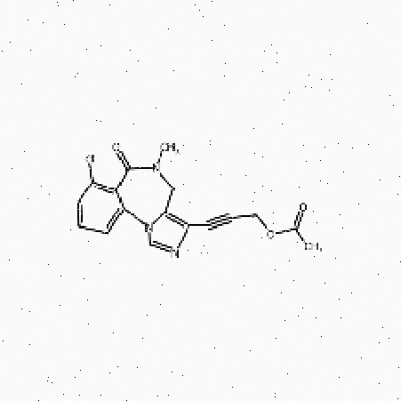 CC(=O)OCC#Cc1ncn2c1CN(C)C(=O)c1c(Cl)cccc1-2